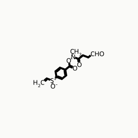 C=C[S+]([O-])c1ccc(C(=O)ON(C)C(=O)CCC=O)cc1